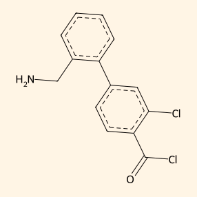 NCc1ccccc1-c1ccc(C(=O)Cl)c(Cl)c1